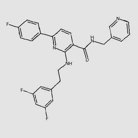 O=C(NCc1cccnc1)c1ccc(-c2ccc(F)cc2)nc1NCCc1cc(F)cc(F)c1